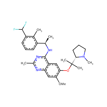 COc1cc2nc(C)nc(N[C@H](C)c3cccc(C(F)F)c3C)c2cc1OC(C)(C)[C@@H]1CCCN1C